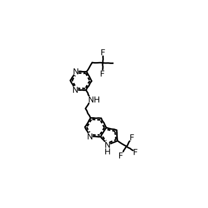 CC(F)(F)Cc1cc(NCc2cnc3[nH]c(C(F)(F)F)cc3c2)ncn1